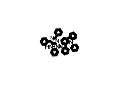 c1ccc(Nc2c(Nn3c4ccccc4c4c3ccc3c5ccccc5n(-c5ccccc5)c34)nc(-c3ccccc3)nc2-c2ccccc2)cc1